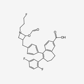 O=COC1C(Cc2ccc(C3=C(c4cc(F)ccc4F)CCCc4cc(C(=O)O)ccc43)cc2)CN1CCCF